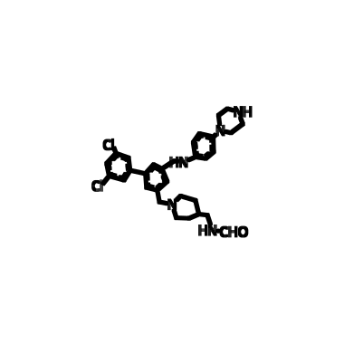 O=CNCC1CCN(Cc2cc(CNc3ccc(N4CCNCC4)cc3)cc(-c3cc(Cl)cc(Cl)c3)c2)CC1